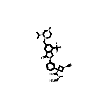 CC(C)[C@H]1CN(C)CCN1Cc1cc2c(c(C(F)(F)F)c1)CN(c1cccc([C@]3(C(=N)N(C)C=N)C[C@@H](C#N)C3)c1)C2=O